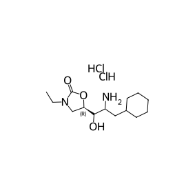 CCN1C[C@H](C(O)C(N)CC2CCCCC2)OC1=O.Cl.Cl